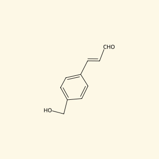 O=CC=Cc1ccc(CO)cc1